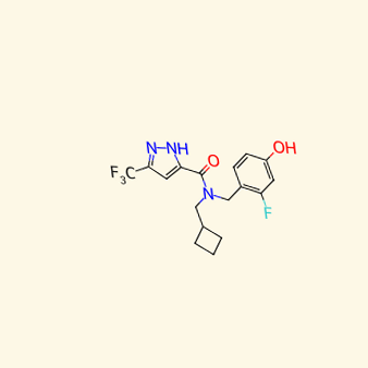 O=C(c1cc(C(F)(F)F)n[nH]1)N(Cc1ccc(O)cc1F)CC1CCC1